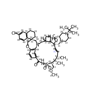 COC[C@@H]1[C@@H](C)[C@@H](C)/C=C/[C@](CN2CCN(C(C)(C)C)CC2)(OC)[C@@H]2CC[C@H]2CN2C[C@@]3(CCCc4cc(Cl)ccc43)COc3ccc(cc32)C(=O)NS1(=O)=O